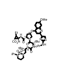 CCC1C[C@]1(NC(=O)[C@@H]1C[C@@H](Oc2cc(-c3csc(NC(C)C)n3)nc3cc(OC)ccc23)CN1C(=O)[C@@H](NC(=O)N[C@H](CN1CCCN(C(C)C)S1(=O)=O)C(C)(C)C)C(C)(C)C)C(=O)O